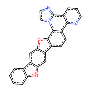 c1ccc2c(c1)oc1cc3c(cc12)oc1c3ccc2c3ncccc3c3nccn3c21